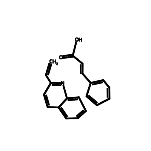 C=Cc1ccc2ccccc2n1.O=C(O)C=Cc1ccccc1